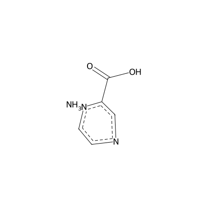 N.O=C(O)c1cnccn1